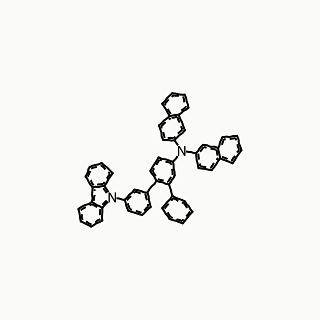 c1ccc(-c2cc(N(c3ccc4ccccc4c3)c3ccc4ccccc4c3)ccc2-c2cccc(-n3c4ccccc4c4ccccc43)c2)cc1